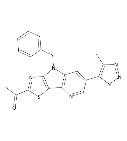 CC(=O)c1nc2c(s1)c1ncc(-c3c(C)nnn3C)cc1n2Cc1ccccc1